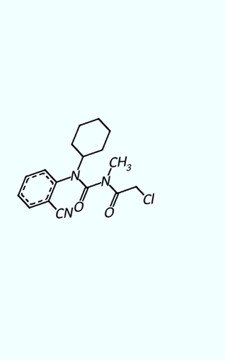 CN(C(=O)CCl)C(=O)N(c1ccccc1C#N)C1CCCCC1